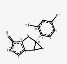 Fc1ccc([C@]23CC2c2c[nH]c(=S)n2C3)c(F)c1